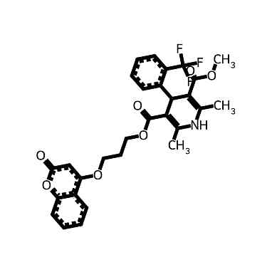 COC(=O)C1=C(C)NC(C)=C(C(=O)OCCCOc2cc(=O)oc3ccccc23)C1c1ccccc1C(F)(F)F